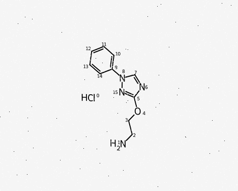 Cl.NCCOc1ncn(-c2ccccc2)n1